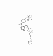 CNS(=O)(=O)CC1CCC(N(C)c2ncnc3c2ccn3C(C)OC(=O)CCCC[C@@H]2CCSS2)CC1